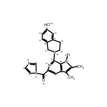 CCn1c(C)c(C)c2cc(C(=O)n3ccnc3)nc(N3CCc4ccccc4C3)c21.Cl